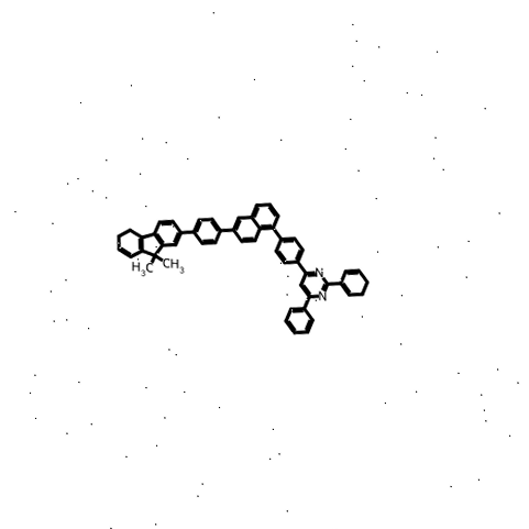 CC1(C)C2=C(CCC=C2)c2ccc(-c3ccc(-c4ccc5c(-c6ccc(-c7cc(-c8ccccc8)nc(C8=CCCC=C8)n7)cc6)cccc5c4)cc3)cc21